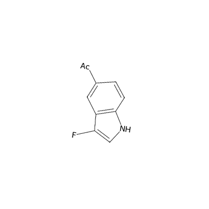 CC(=O)c1ccc2[nH]cc(F)c2c1